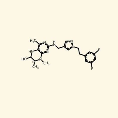 Cc1nc(NCc2cnn(CCc3cc(F)cc(F)c3)c2)nc2c1NC(O)[C@H](C)N2C